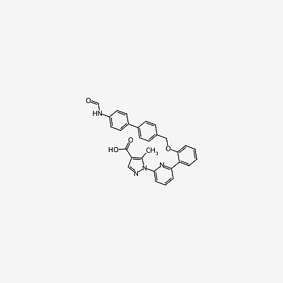 Cc1c(C(=O)O)cnn1-c1cccc(-c2ccccc2OCc2ccc(-c3ccc(NC=O)cc3)cc2)n1